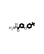 CC(C)(C)c1ccc(Oc2cccc(C(=O)NN)c2)cc1